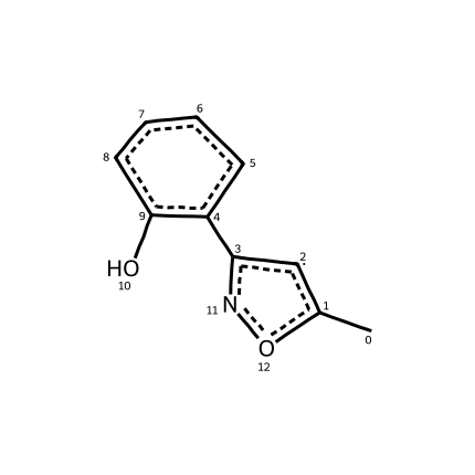 Cc1[c]c(-c2ccccc2O)no1